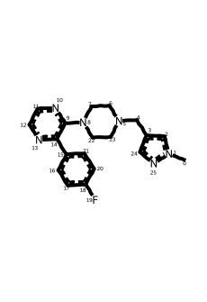 Cn1cc(CN2CCN(c3nccnc3-c3ccc(F)cc3)CC2)cn1